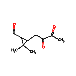 CC(=O)C(=O)CC1C(C=O)C1(C)C